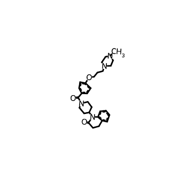 CN1CCN(CCCOc2ccc(C(=O)N3CCC(N4C(=O)CCc5ccccc54)CC3)cc2)CC1